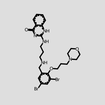 O=c1nc(NCCCNCc2cc(Br)cc(Br)c2OCCCN2CCOCC2)[nH]c2ccccc12